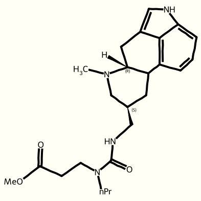 CCCN(CCC(=O)OC)C(=O)NC[C@@H]1CC2c3cccc4[nH]cc(c34)C[C@H]2N(C)C1